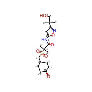 CC(C)(CO)c1cc(NC(=O)C(C)(C)S(=O)(=O)CC2CCC(=O)CC2)on1